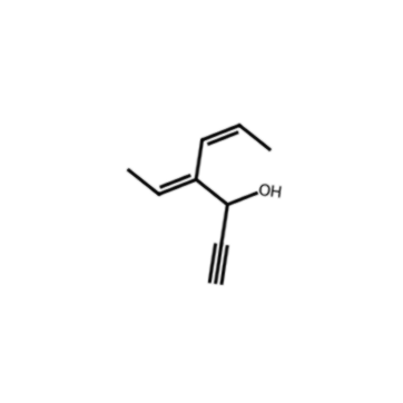 C#CC(O)C(/C=C\C)=C/C